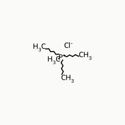 CCCCCCC[P+](C)(CCCCCCC)CCCCCCC.[Cl-]